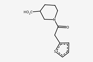 O=C(O)C1CCCN(C(=O)Cc2cccs2)C1